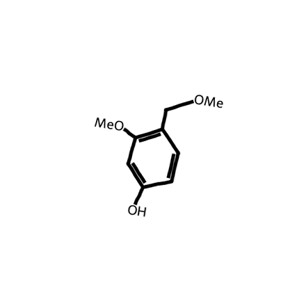 COCc1ccc(O)cc1OC